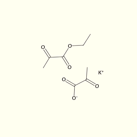 CC(=O)C(=O)[O-].CCOC(=O)C(C)=O.[K+]